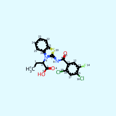 CCC(C(=O)O)n1c(=NC(=O)c2cc(F)c(Cl)cc2Cl)sc2ccccc21